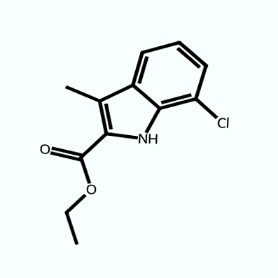 CCOC(=O)c1[nH]c2c(Cl)cccc2c1C